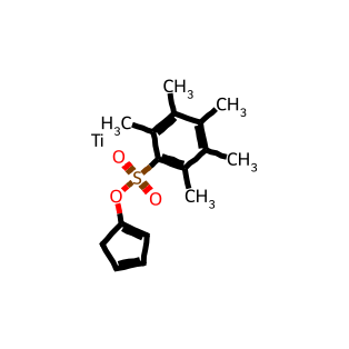 Cc1c(C)c(C)c(S(=O)(=O)OC2=CC=CC2)c(C)c1C.[Ti]